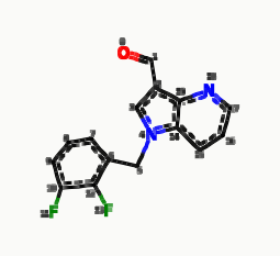 O=Cc1cn(Cc2cccc(F)c2F)c2cccnc12